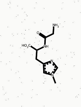 Cn1cnc(CC(NC(=O)CN)C(=O)O)c1